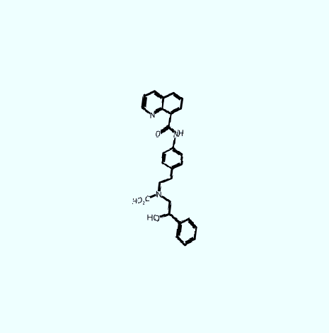 O=C(Nc1ccc(CCN(CC(O)c2ccccc2)C(=O)O)cc1)c1cccc2cccnc12